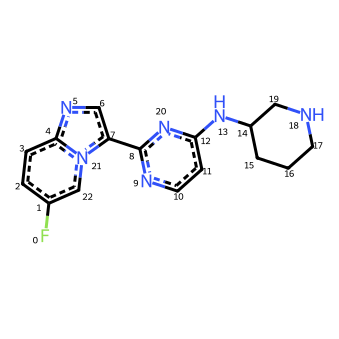 Fc1ccc2ncc(-c3nccc(NC4CCCNC4)n3)n2c1